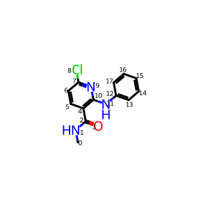 CNC(=O)c1ccc(Cl)nc1Nc1ccccc1